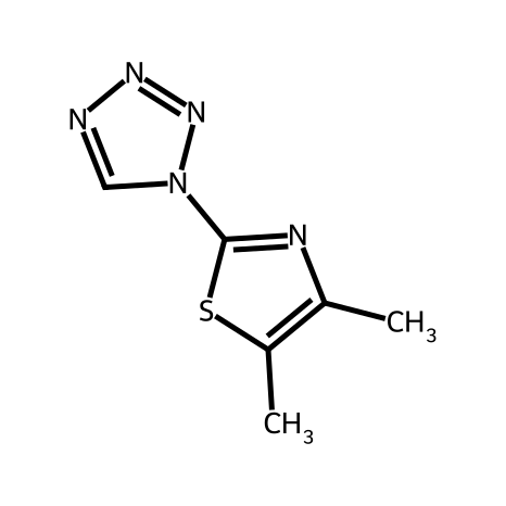 Cc1nc(-n2cnnn2)sc1C